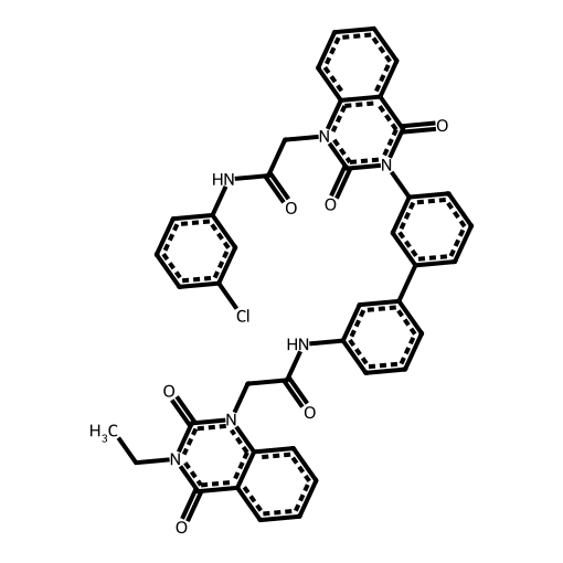 CCn1c(=O)c2ccccc2n(CC(=O)Nc2cccc(-c3cccc(-n4c(=O)c5ccccc5n(CC(=O)Nc5cccc(Cl)c5)c4=O)c3)c2)c1=O